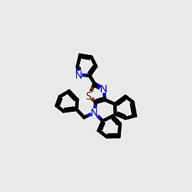 c1ccc(CN(c2ccccc2)c2sc(-c3ccccn3)nc2-c2ccccc2)cc1